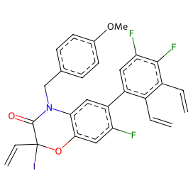 C=Cc1c(-c2cc3c(cc2F)OC(I)(C=C)C(=O)N3Cc2ccc(OC)cc2)cc(F)c(F)c1C=C